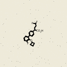 O=C(O)C(CCC(F)F)c1ccc(-c2cccc(F)c2OC2CCC2)cc1